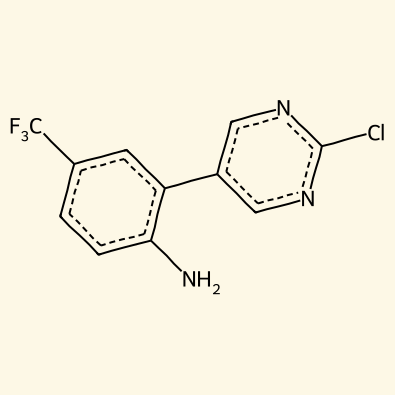 Nc1ccc(C(F)(F)F)cc1-c1cnc(Cl)nc1